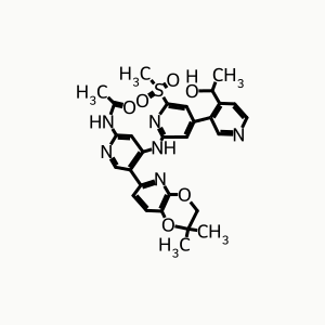 CC(=O)Nc1cc(Nc2cc(-c3cnccc3C(C)O)cc(S(C)(=O)=O)n2)c(-c2ccc3c(n2)OCC(C)(C)O3)cn1